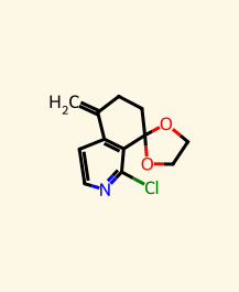 C=C1CCC2(OCCO2)c2c1ccnc2Cl